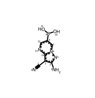 N#Cc1c(N)nn2cc(B(O)O)cnc12